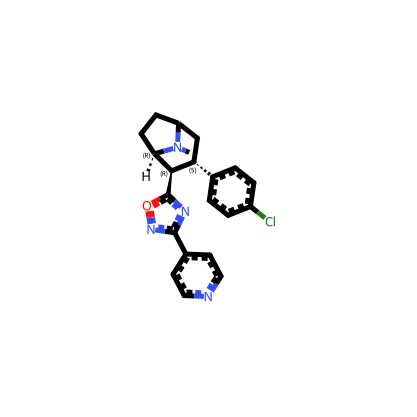 CN1C2CC[C@@H]1[C@H](c1nc(-c3ccncc3)no1)[C@@H](c1ccc(Cl)cc1)C2